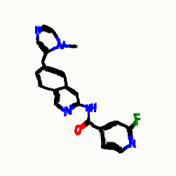 Cn1cncc1-c1ccc2cnc(NC(=O)c3ccnc(F)c3)cc2c1